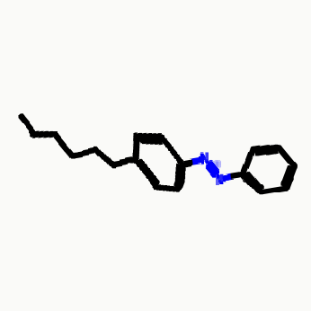 CCCCCCc1ccc(/N=N/c2ccccc2)cc1